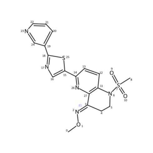 CO/N=C1\CCN(S(C)(=O)=O)c2ccc(-c3cnc(-c4cccnc4)s3)nc21